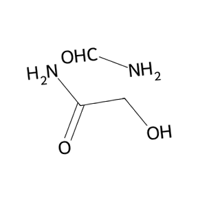 NC(=O)CO.NC=O